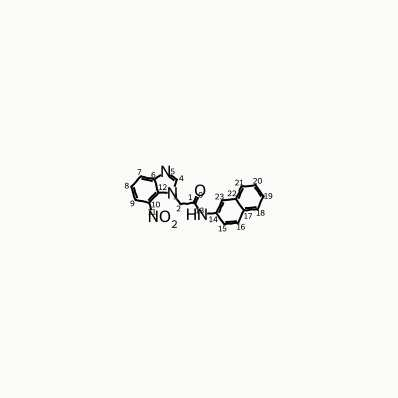 O=C(Cn1cnc2cccc([N+](=O)[O-])c21)Nc1ccc2ccccc2c1